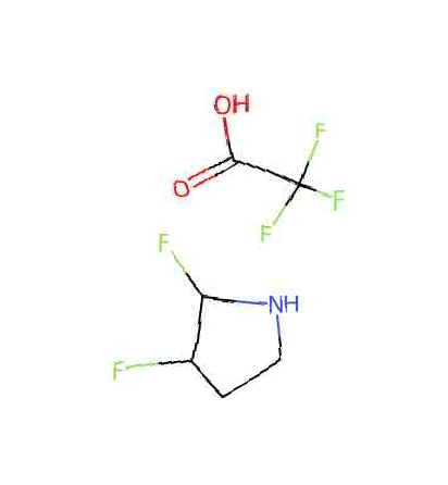 FC1CCNC1F.O=C(O)C(F)(F)F